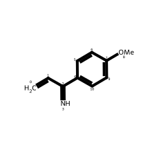 C=CC(=N)c1ccc(OC)cc1